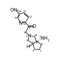 N[C@]12CCC[C@H]1CN(CC(=O)c1ccc(N=O)cn1)C2